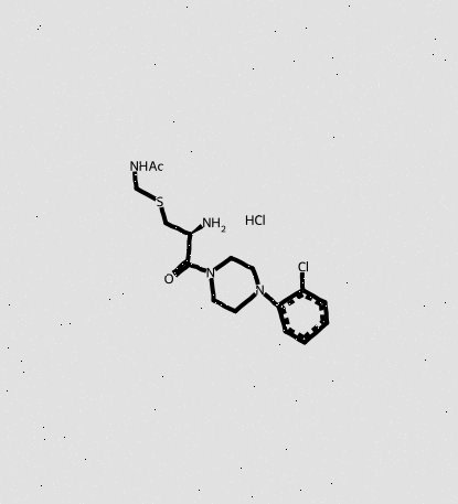 CC(=O)NCSC[C@@H](N)C(=O)N1CCN(c2ccccc2Cl)CC1.Cl